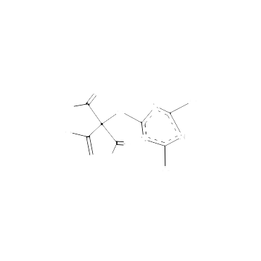 O=C(O)C(Oc1nc(O)nc(O)n1)(C(=O)O)C(=O)O